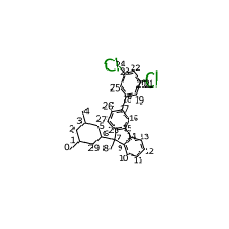 CC1CC(C)CC(C2(C)c3ccccc3-c3cc(-c4cc(Cl)cc(Cl)c4)ccc32)C1